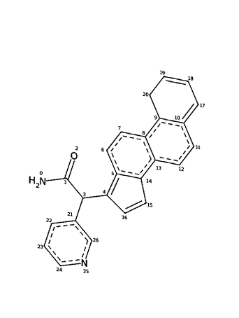 NC(=O)C(C1=c2ccc3c4c(ccc3c2C=C1)=CC=CC4)c1cccnc1